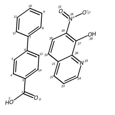 O=C(O)c1ccc(-c2ccccc2)cc1.O=[N+]([O-])c1ccc2cccnc2c1O